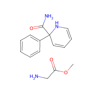 COC(=O)CN.NC(=O)C1(c2ccccc2)C=CC=CN1